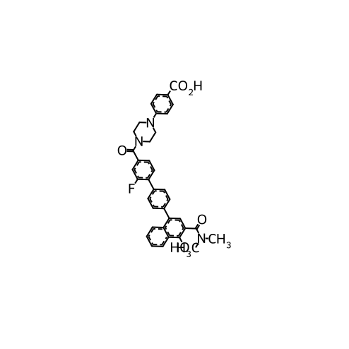 CN(C)C(=O)c1cc(-c2ccc(-c3ccc(C(=O)N4CCN(c5ccc(C(=O)O)cc5)CC4)cc3F)cc2)c2ccccc2c1O